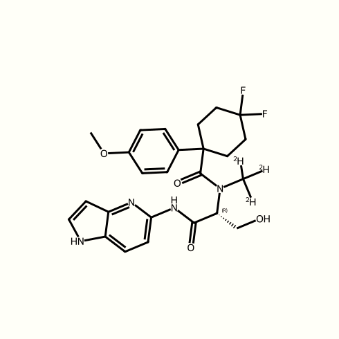 [2H]C([2H])([2H])N(C(=O)C1(c2ccc(OC)cc2)CCC(F)(F)CC1)[C@H](CO)C(=O)Nc1ccc2[nH]ccc2n1